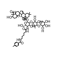 Cc1ccc(C(=O)NCCCCCC(=O)NC2C(O)C(O[C@@H]3O[C@H](C)C(O[C@@H]4OC[C@@H](O)C(O)C4O)C(O)C3O)[C@H](OC(=O)C34CCC(C)(C)CC3C3=CC[C@@]5(CC[C@H]6C(C)(C=O)C(O)CCC6(C)C5C)[C@]3(C)C[C@H]4O)O[C@@H]2CO)cc1